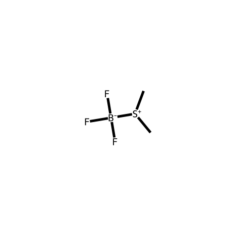 C[S+](C)[B-](F)(F)F